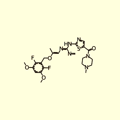 C=N/C(=N\C=C(/C)OCc1c(F)c(OC)cc(OC)c1F)Nc1ncc(C(=O)N2CCN(C)CC2)s1